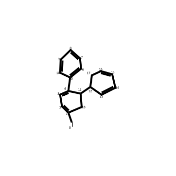 IC1=CC=C(c2ccccc2)C(C2C=CC=CC2)C1